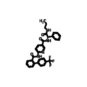 CCCNC(=O)[C@@H](NC(=O)c1ccc(NC(=O)c2ccccc2-c2ccc(C(F)(F)F)cc2)nc1)c1ccccc1